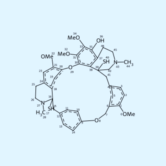 COc1ccc2cc1COc1ccc(cc1)CC1(S)c3cc(c(OC)cc3CCN1C)Oc1c(OC)c(OC)c(O)c3c1C(S)(C2)CN(C)CC3